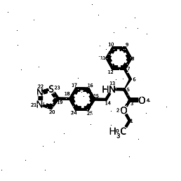 CCOC(=O)[C@H](Cc1ccccc1)NCc1ccc(-c2cnns2)cc1